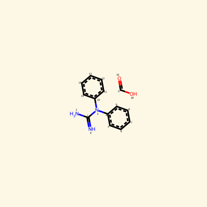 N=C(N)N(c1ccccc1)c1ccccc1.O=CO